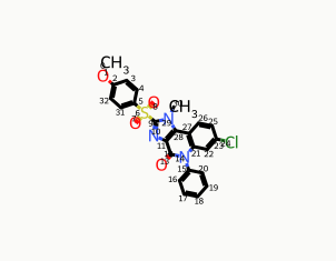 COc1ccc(S(=O)(=O)c2nc3c(=O)n(-c4ccccc4)c4cc(Cl)ccc4c3n2C)cc1